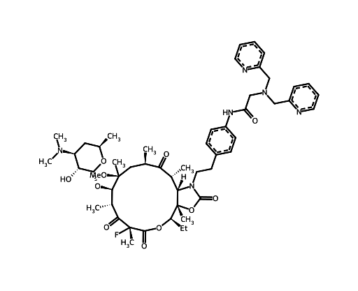 CC[C@H]1OC(=O)[C@](C)(F)C(=O)[C@H](C)[C@@H](O[C@H]2O[C@H](C)C[C@H](N(C)C)[C@H]2O)[C@@](C)(OC)C[C@@H](C)C(=O)[C@H](C)[C@@H]2N(CCc3ccc(NC(=O)CN(Cc4ccccn4)Cc4ccccn4)cc3)C(=O)O[C@@]21C